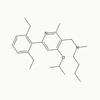 CCCCN(C)Cc1c(OC(C)C)cc(-c2c(CC)cccc2CC)nc1C